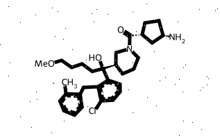 COCCCCC(O)(c1cccc(Cl)c1Cc1ccccc1C)[C@@H]1CCCN(C(=O)[C@@H]2CC[C@H](N)C2)C1